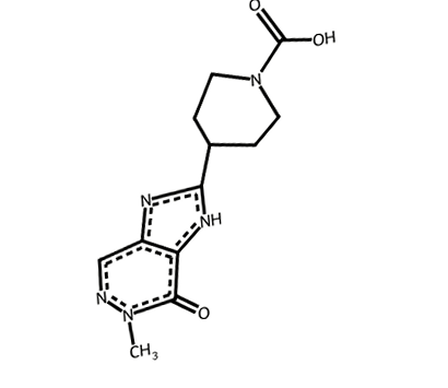 Cn1ncc2nc(C3CCN(C(=O)O)CC3)[nH]c2c1=O